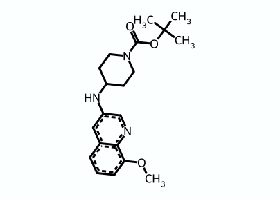 COc1cccc2cc(NC3CCN(C(=O)OC(C)(C)C)CC3)cnc12